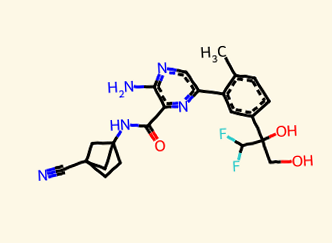 Cc1ccc(C(O)(CO)C(F)F)cc1-c1cnc(N)c(C(=O)NC23CCC(C#N)(C2)C3)n1